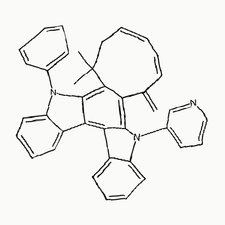 C=C1/C=C\C=C/CC(C)(C)c2c1c1c(c3ccccc3n1-c1cccnc1)c1c3ccccc3n(-c3ccccc3)c21